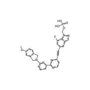 COc1ccc2c(c1)CN(c1nccc(-c3nccc(C#Cc4cc(F)c5c(cnn5COP(=O)(O)O)c4)n3)n1)C2